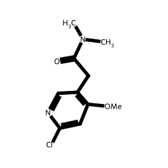 COc1cc(Cl)ncc1CC(=O)N(C)C